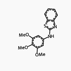 COc1cc(Nc2nc3ccccc3s2)cc(OC)c1OC